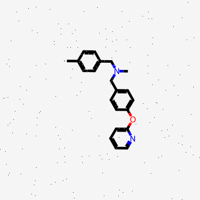 [CH2]c1ccc(CN(C)Cc2ccc(Oc3ccccn3)cc2)cc1